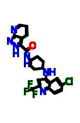 O=C(NC1CCC(Nc2cc(C(F)(F)F)nc3ccc(Cl)cc23)CC1)c1[nH]nc2ncccc12